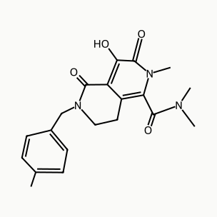 Cc1ccc(CN2CCc3c(c(O)c(=O)n(C)c3C(=O)N(C)C)C2=O)cc1